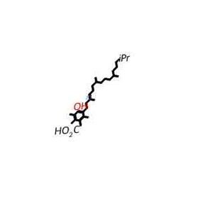 C/C(=C\CCC(C)CCCC(C)CCCC(C)C)CCc1c(C)c(CC(=O)O)c(C)c(C)c1O